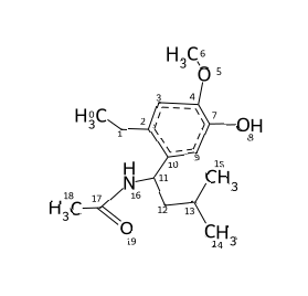 CCc1cc(OC)c(O)cc1C(CC(C)C)NC(C)=O